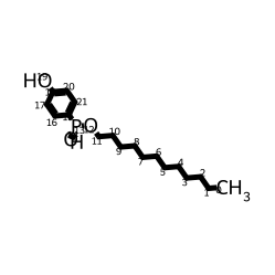 CCCCCCCCCCCCO[PH](=O)c1ccc(O)cc1